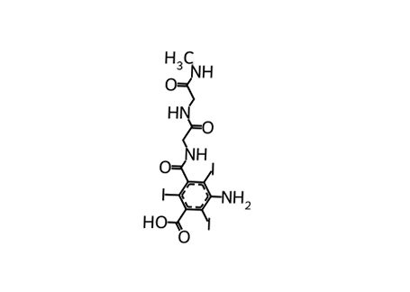 CNC(=O)CNC(=O)CNC(=O)c1c(I)c(N)c(I)c(C(=O)O)c1I